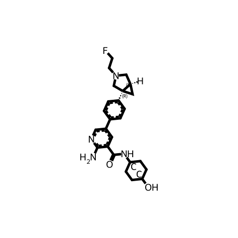 Nc1ncc(-c2ccc([C@@]34C[C@@H]3CN(CCF)C4)cc2)cc1C(=O)NC12CCC(O)(CC1)CC2